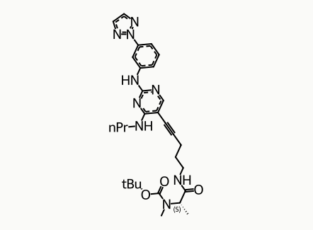 CCCNc1nc(Nc2cccc(-n3nccn3)c2)ncc1C#CCCCNC(=O)[C@H](C)N(C)C(=O)OC(C)(C)C